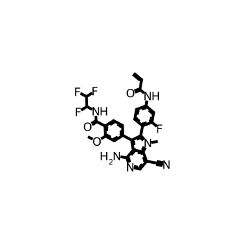 C=CC(=O)Nc1ccc(-c2c(-c3ccc(C(=O)NC(F)C(F)F)c(OC)c3)c3c(N)ncc(C#N)c3n2C)c(F)c1